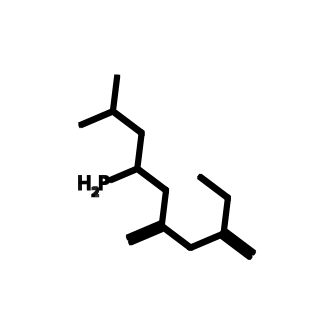 C=C(CC)CC(=C)CC(P)CC(C)C